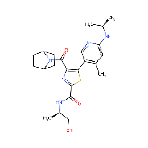 Cc1cc(N[C@@H](C)C(F)(F)F)ncc1-c1sc(C(=O)N[C@H](C)CO)nc1C(=O)N1C2CCC1CC2